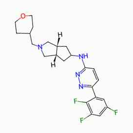 Fc1cc(F)c(F)c(-c2ccc(NC3C[C@@H]4CN(CC5CCOCC5)C[C@@H]4C3)nn2)c1